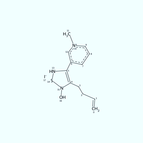 C=CCCC1=C(c2ccc[n+](C)c2)NSN1O.[I-]